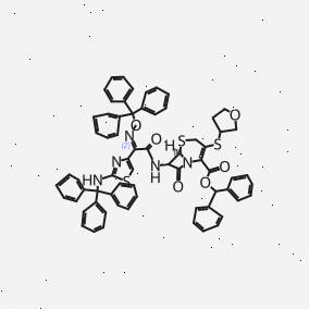 O=C(OC(c1ccccc1)c1ccccc1)C1=C(SC2CCOC2)CS[C@@H]2C(NC(=O)/C(=N\OC(c3ccccc3)(c3ccccc3)c3ccccc3)c3csc(NC(c4ccccc4)(c4ccccc4)c4ccccc4)n3)C(=O)N12